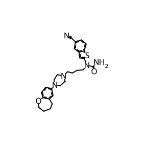 N#Cc1ccc2sc(N(CCCCN3CCN(c4ccc5c(c4)CCCCO5)CC3)C(N)=O)cc2c1